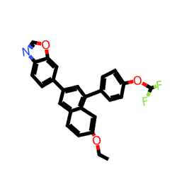 CCOc1ccc2cc(-c3ccc4ncoc4c3)cc(-c3ccc(OC(F)F)cc3)c2c1